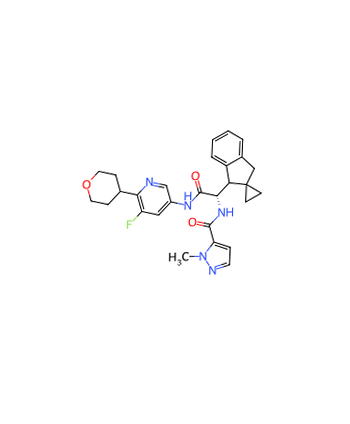 Cn1nccc1C(=O)N[C@H](C(=O)Nc1cnc(C2CCOCC2)c(F)c1)C1c2ccccc2CC12CC2